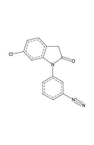 N#[N+]c1cccc(N2C(=O)Cc3ccc(Cl)cc32)c1